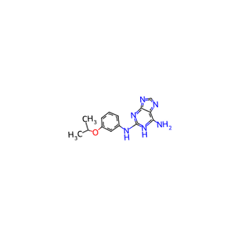 CC(C)Oc1cccc(Nc2nc3ncnc-3c(N)[nH]2)c1